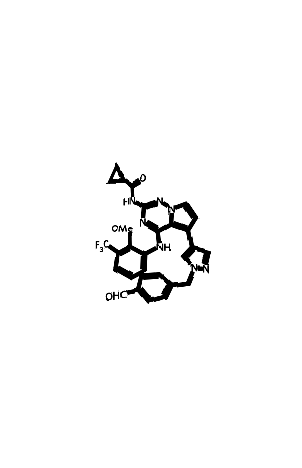 COc1c(Nc2nc(NC(=O)C3CC3)nn3ccc(-c4cnn(Cc5ccc(C=O)cc5)c4)c23)cccc1C(F)(F)F